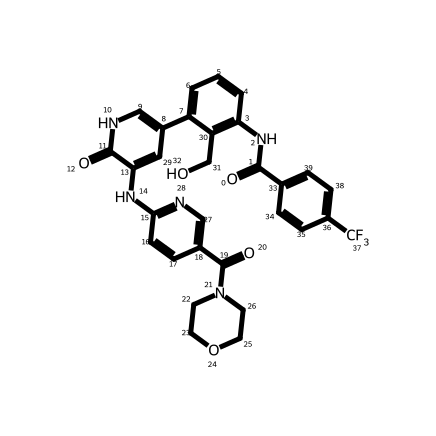 O=C(Nc1cccc(-c2c[nH]c(=O)c(Nc3ccc(C(=O)N4CCOCC4)cn3)c2)c1CO)c1ccc(C(F)(F)F)cc1